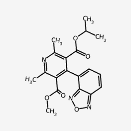 COC(=O)c1c(C)nc(C)c(C(=O)OC(C)C)c1-c1cccc2nonc12